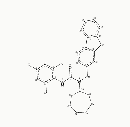 Cc1cc(C)c(NC(=O)N(Cc2ccc3c(c2)Cc2ccccc2-3)C2CCCCCC2)c(C)c1